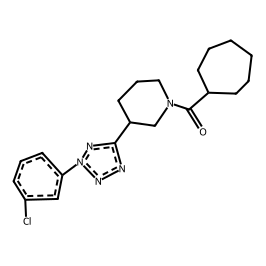 O=C(C1CCCCCC1)N1CCCC(c2nnn(-c3cccc(Cl)c3)n2)C1